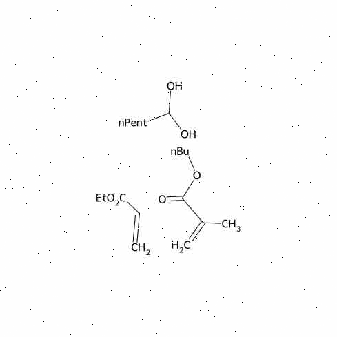 C=C(C)C(=O)OCCCC.C=CC(=O)OCC.CCCCCC(O)O